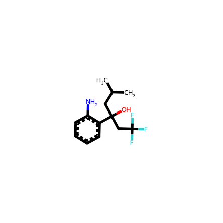 CC(C)CC(O)(CC(F)(F)F)c1ccccc1N